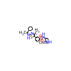 COc1ccc(-c2sc(N[C@H](C)C3CCCCC3)nc2C)cc1S(=O)(=O)N[C@H]1CCNC1